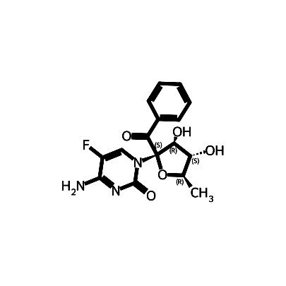 C[C@H]1O[C@@](C(=O)c2ccccc2)(n2cc(F)c(N)nc2=O)[C@H](O)[C@@H]1O